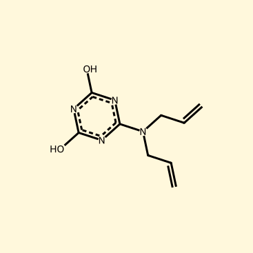 C=CCN(CC=C)c1nc(O)nc(O)n1